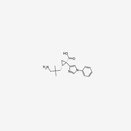 CC(C)(CN)C[C@@H]1C[C@@]1(C(=O)O)c1cn(-c2ccccc2)cn1